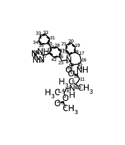 CC(=O)O[C@H](C)CNC(C)(C)CC(=O)N[C@@H]1CCc2ccccc2N(Cc2ccc(-c3ccccc3)c(-c3nnn[nH]3)c2)C1=O